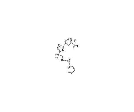 FC(F)(F)c1cc(-c2nc(C3(CNC4CC4c4ccccc4)CCC3)no2)ccn1